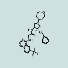 O=C(CNc1ncnc2ccc(C(F)(F)F)cc12)NC1CN(C2CCCOCC2)C[C@@H]1OCc1ccccc1